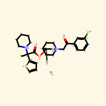 CC(C(=O)O[C@H]1C[N+]2(CC(=O)c3cccc(F)c3)CCC1CC2)(c1cccs1)N1CCCCC1.[Br-]